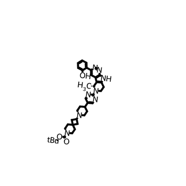 C[C@@H]1c2c([nH]c3nnc(-c4ccccc4O)cc23)CCN1c1ncc(C2CCN(C3CC4(CCN(C(=O)OC(C)(C)C)CC4)C3)CC2)cn1